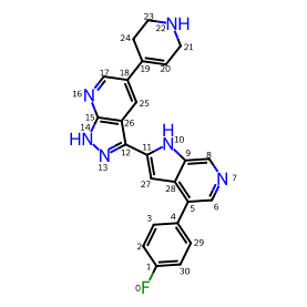 Fc1ccc(-c2cncc3[nH]c(-c4n[nH]c5ncc(C6=CCNCC6)cc45)cc23)cc1